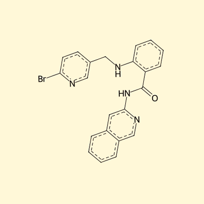 O=C(Nc1cc2ccccc2cn1)c1ccccc1NCc1ccc(Br)nc1